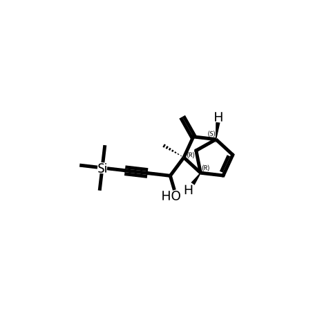 C=C1[C@@H]2C=C[C@@H](C2)[C@@]1(C)C(O)C#C[Si](C)(C)C